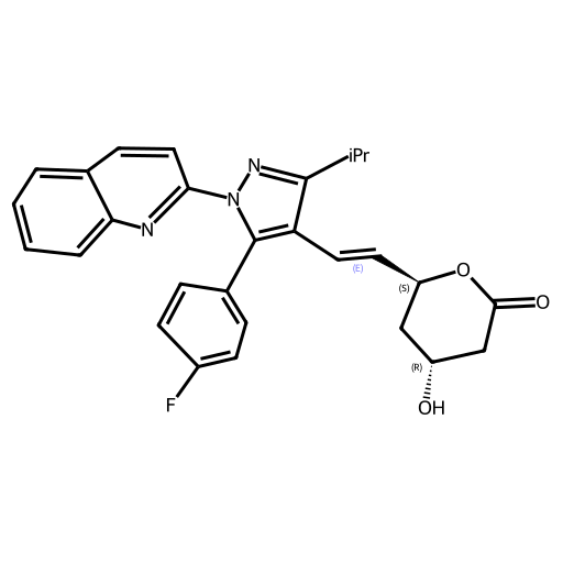 CC(C)c1nn(-c2ccc3ccccc3n2)c(-c2ccc(F)cc2)c1/C=C/[C@@H]1C[C@@H](O)CC(=O)O1